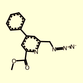 COC(=O)c1cc(-c2ccccc2)cc(CN=[N+]=[N-])n1